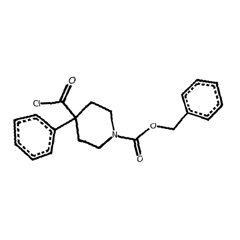 O=C(OCc1ccccc1)N1CCC(C(=O)Cl)(c2ccccc2)CC1